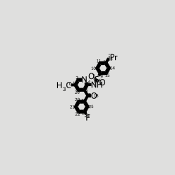 Cc1cnc(NS(=O)(=O)c2ccc(C(C)C)cc2)c(C(=O)c2cccc(F)c2)c1